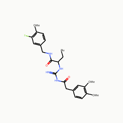 CCC(C)CC(NC(=N)NC(=O)Cc1ccc(OC)c(OC)c1)C(=O)NCc1ccc(OC)c(F)c1